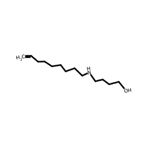 C=CCCCCCCCNCCCCO